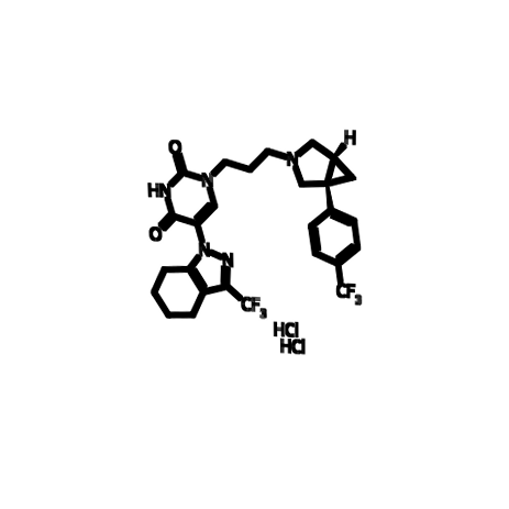 Cl.Cl.O=c1[nH]c(=O)n(CCCN2C[C@@H]3C[C@]3(c3ccc(C(F)(F)F)cc3)C2)cc1-n1nc(C(F)(F)F)c2c1CCCC2